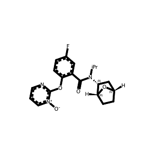 CC(C)N(C(=O)c1cc(F)ccc1Oc1nccc[n+]1[O-])[C@@H]1C[C@@H]2CC[C@H]1O2